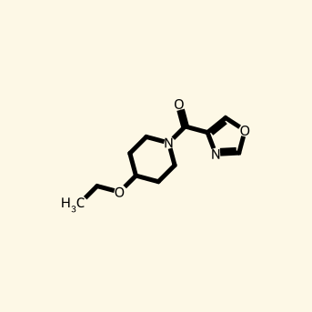 CCOC1CCN(C(=O)c2cocn2)CC1